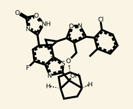 Cc1cccc(Cl)c1-c1noc(C2CC2)c1CO[C@@H]1C[C@H]2CC[C@@H](C1)[C@]2(O)c1nc2c(F)cc(-c3nc(=O)o[nH]3)cc2s1